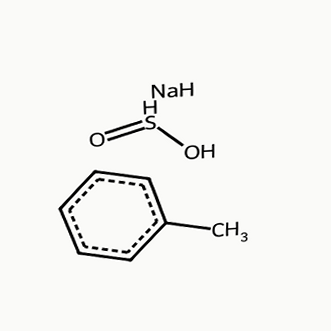 Cc1ccccc1.O=[SH]O.[NaH]